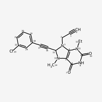 C#CCN1c2c(c(=O)[nH]c(=O)n2CC)N(C)C1C#Cc1cccc(Cl)c1